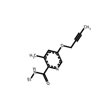 CC#CCOc1cnc(C(=O)NCC)c(C)c1